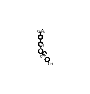 CN(C)C(=O)c1ccc(-c2ccc(N3CCCC4(CCN([C@H]5CC[C@H](O)CC5)C4=O)C3)nc2)cc1